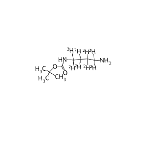 [2H]C([2H])(N)C([2H])([2H])C([2H])([2H])C([2H])([2H])NC(=O)OC(C)(C)C